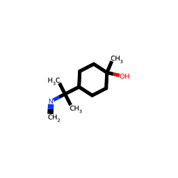 C=NC(C)(C)C1CCC(C)(O)CC1